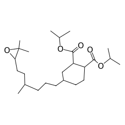 CC(CCCC1CCC(C(=O)OC(C)C)C(C(=O)OC(C)C)C1)CCC1OC1(C)C